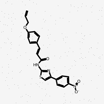 C=CCOc1ccc(/C=C/C(=O)Nc2nc(-c3ccc([N+](=O)[O-])cc3)cs2)cc1